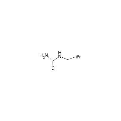 CC(C)CN[C@@H](N)Cl